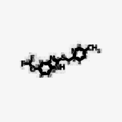 Cc1ccc(CSc2nc3cc(OC(F)F)ccc3[nH]2)nc1